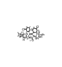 CC(C)[C@@H](CS(=N)(=O)C(C)C)N1C(=O)[C@@](C)(CC(=O)NS(=O)(=O)C2(C)CC2)C[C@H](c2cccc(Cl)c2)[C@H]1c1ccc(Cl)cc1